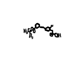 CC(C)OC(=O)c1cccc(C#Cc2ccc(CC(=O)O)c(F)c2)c1